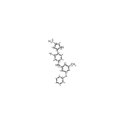 Cc1cc(Cc2ccccc2)nc(Nc2ccc(-c3nc(C)c[nH]3)c(F)c2)n1